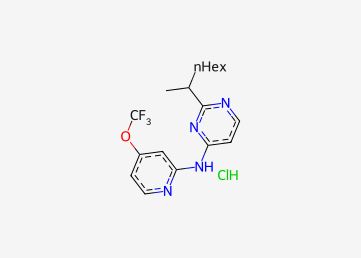 CCCCCCC(C)c1nccc(Nc2cc(OC(F)(F)F)ccn2)n1.Cl